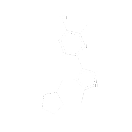 Cc1nc(-c2onc(C)c2C[C]2CCCC2)ncc1O